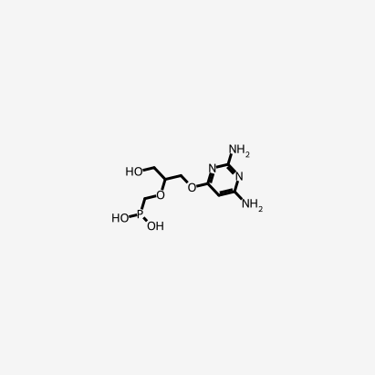 Nc1cc(OCC(CO)OCP(O)O)nc(N)n1